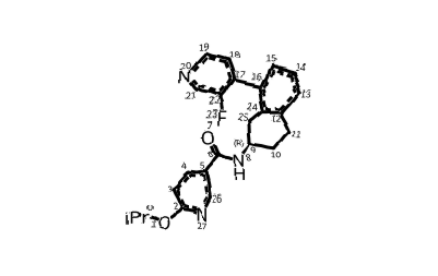 CC(C)Oc1ccc(C(=O)N[C@@H]2CCc3cccc(-c4ccncc4F)c3C2)cn1